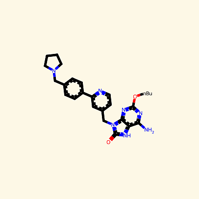 CCCCOc1nc(N)c2[nH]c(=O)n(Cc3ccnc(-c4ccc(CN5CCCC5)cc4)c3)c2n1